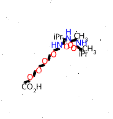 CC(C)C(C)C(=O)N[C@H](C)C(=O)N[C@@H](C(=O)NCCOCCOCCOCCOCCC(=O)O)C(C)C